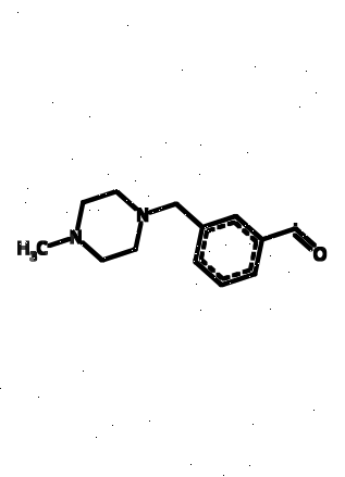 CN1CCN(Cc2cccc([C]=O)c2)CC1